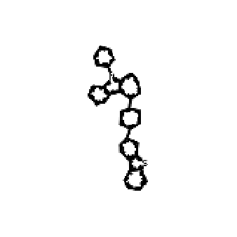 c1ccc(-n2c3ccccc3c3c(-c4ccc(-c5ccc6c(c5)sc5ccccc56)cc4)cccc32)cc1